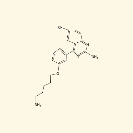 NCCCCCOc1cccc(-c2nc(N)nc3ccc(Cl)cc23)c1